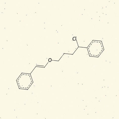 ClC(CCCOC=Cc1ccccc1)c1ccccc1